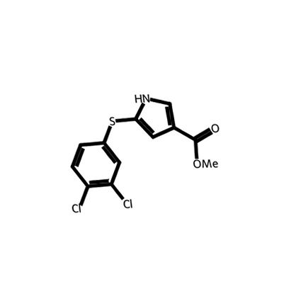 COC(=O)c1c[nH]c(Sc2ccc(Cl)c(Cl)c2)c1